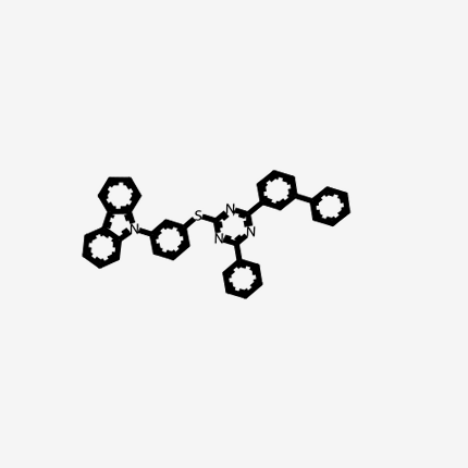 c1ccc(-c2cccc(-c3nc(Sc4cccc(-n5c6ccccc6c6ccccc65)c4)nc(-c4ccccc4)n3)c2)cc1